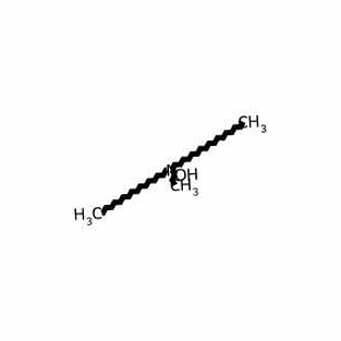 CCCCCCCCCCCCCCCCCN(CCCCCCCCCCCCCCCCC)C(O)CC